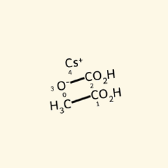 CC(=O)O.O=C([O-])O.[Cs+]